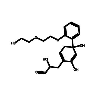 O=CC(O)CC1=CCC(O)(c2ccccc2OCCOCCS)C=C1O